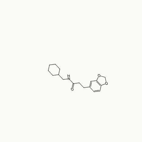 O=C(CCc1ccc2c(c1)OCO2)NCC1CCCCC1